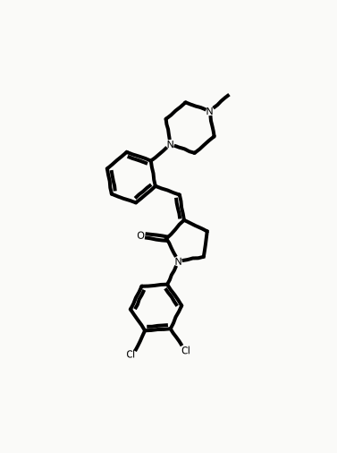 CN1CCN(c2ccccc2C=C2CCN(c3ccc(Cl)c(Cl)c3)C2=O)CC1